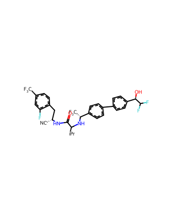 CC(C)C(N[C@@H](c1ccc(-c2ccc([C@@H](O)C(F)F)cc2)cc1)C(F)(F)F)C(=O)N[C@H](C#N)Cc1ccc(C(F)(F)F)cc1F